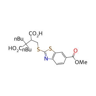 CCCCC(CCCC)(C(=O)O)C(CSc1nc2ccc(C(=O)OC)cc2s1)C(=O)O